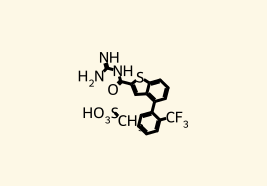 CS(=O)(=O)O.N=C(N)NC(=O)c1cc2c(-c3ccccc3C(F)(F)F)cccc2s1